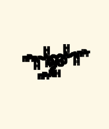 CCCNCCNC(=O)CC(CC(=O)NCCNCCC)C(=O)NCCNCCC